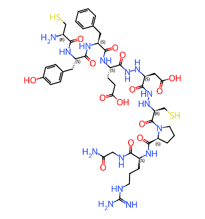 N=C(N)NCCC[C@H](NC(=O)[C@@H]1CCCN1C(=O)[C@H](CS)NNC(=O)[C@H](CC(=O)O)NNC(=O)[C@H](CCC(=O)O)NC(=O)[C@H](Cc1ccccc1)NC(=O)[C@H](Cc1ccc(O)cc1)NC(=O)[C@@H](N)CS)C(=O)NCC(N)=O